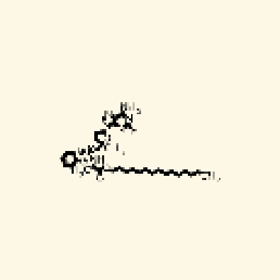 CCCCCCCCCCCCCCCOC(=O)[C@H](C)NP(=O)(OC[C@]1(C)CC[C@H](n2cnc3c(N)nc(F)nc32)O1)Oc1ccccc1